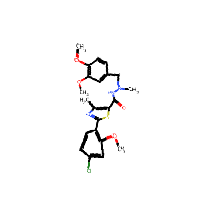 COc1ccc(CN(C)NC(=O)c2sc(-c3ccc(Cl)cc3OC)nc2C)cc1OC